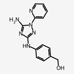 Nc1nc(Nc2ccc(CO)cc2)nn1-c1ccccn1